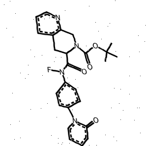 CC(C)(C)OC(=O)N1Cc2ncccc2CC1C(=O)N(F)c1ccc(-n2ccccc2=O)cc1